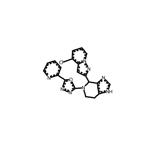 Clc1cccn2nc(C3c4nc[nH]c4CCN3c3nnc(-c4ccccn4)o3)cc12